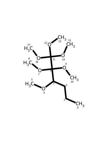 CCCC(OC)C(OC)(OC)C(OC)(OC)OC